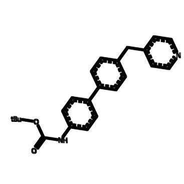 CC(C)(C)OC(=O)Nc1ccc(-c2ccc(Cc3ccncc3)cc2)cc1